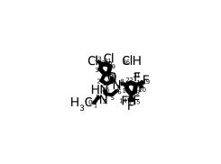 CCCN=C1CCN(Cc2cc(C(F)(F)F)cc(C(F)(F)F)c2)C(=O)C(Cc2ccc(Cl)c(Cl)c2)N1.Cl